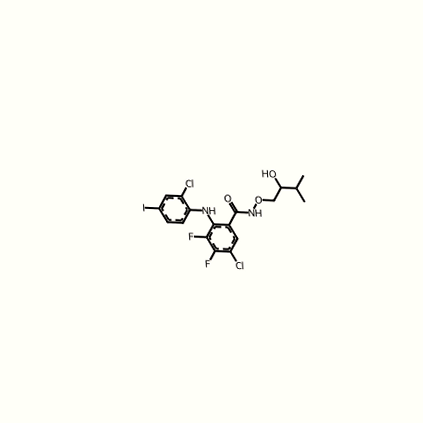 CC(C)C(O)CONC(=O)c1cc(Cl)c(F)c(F)c1Nc1ccc(I)cc1Cl